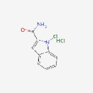 Cl.NC(=O)c1cc2ccccc2n1Cl